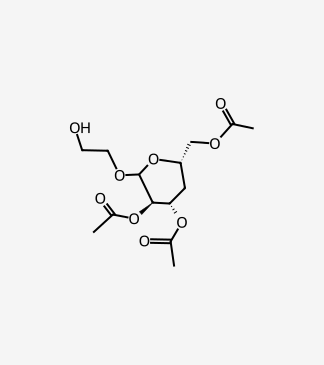 CC(=O)OC[C@@H]1C[C@H](OC(C)=O)[C@@H](OC(C)=O)C(OCCO)O1